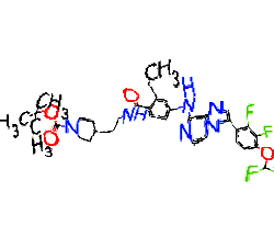 CCc1cc(Nc2nccn3c(-c4ccc(OC(F)F)c(F)c4F)cnc23)ccc1C(=O)NCCC1CCN(C(=O)OC(C)(C)C)CC1